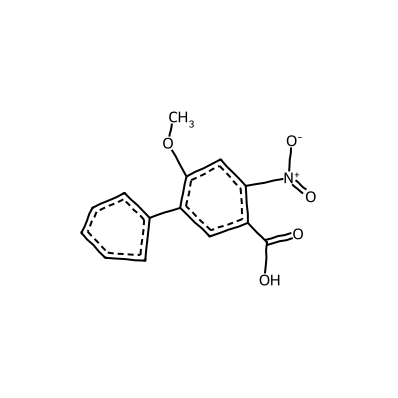 COc1cc([N+](=O)[O-])c(C(=O)O)cc1-c1ccccc1